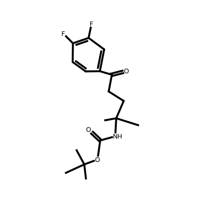 CC(C)(CCC(=O)c1ccc(F)c(F)c1)NC(=O)OC(C)(C)C